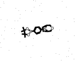 CC1(C)OB(c2ccc(N3C4CCC3COC4)cc2)OC1(C)C